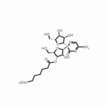 CCCCCCCCCCCCCCCC(=O)O[C@H]1[C@H](O)[C@H]([N+]2([C@@H]3O[C@H](CO)[C@@H](O)[C@H]3O)N=CC(N)=NC2=O)O[C@@H]1CO